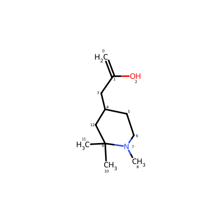 C=C(O)CC1CCN(C)C(C)(C)C1